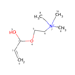 C=CC(O)OCC[N+](C)(C)C